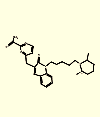 CC1CCC[C@@H](C)N1CCCCCn1c(=O)c(Cc2ccnc(C(=N)N)n2)cc2ccccc21